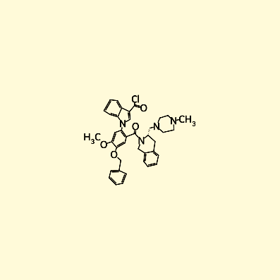 COc1cc(-n2cc(C(=O)Cl)c3ccccc32)c(C(=O)N2Cc3ccccc3C[C@H]2CN2CCN(C)CC2)cc1OCc1ccccc1